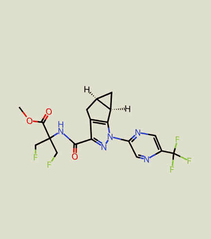 COC(=O)C(CF)(CF)NC(=O)c1nn(-c2cnc(C(F)(F)F)cn2)c2c1C[C@H]1C[C@@H]21